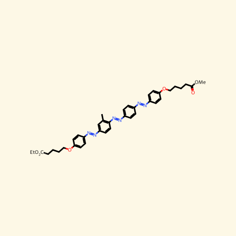 CCOC(=O)CCCCOc1ccc(N=Nc2ccc(N=Nc3ccc(N=Nc4ccc(OCCCCC(=O)OC)cc4)cc3)c(C)c2)cc1